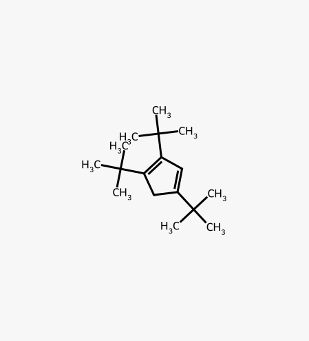 CC(C)(C)C1=CC(C(C)(C)C)=C(C(C)(C)C)C1